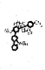 Cc1ccc(C(C)(C)C(C)(C)c2ccc(C(C)(C)C)c(-c3ccc4c5ccccc5n(C(C)(C)C)c4c3)c2)cc1